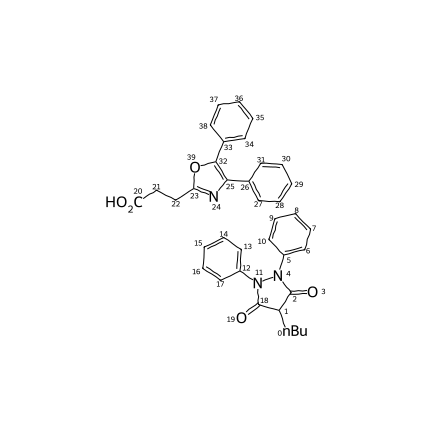 CCCCC1C(=O)N(c2ccccc2)N(c2ccccc2)C1=O.O=C(O)CCc1nc(-c2ccccc2)c(-c2ccccc2)o1